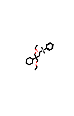 CCOCC(CC[Si](C)(C)c1ccccc1)(COCC)C1CCCCC1